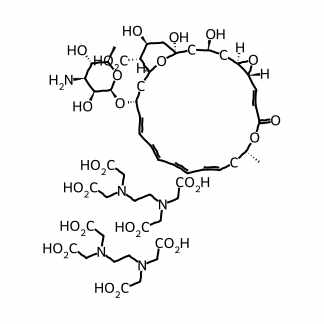 C[C@@H]1C/C=C/C=C/C=C/C=C/[C@H](O[C@@H]2O[C@H](C)[C@@H](O)[C@H](N)[C@@H]2O)C[C@@H]2O[C@](O)(C[C@@H](O)C[C@H]3O[C@@H]3/C=C/C(=O)O1)C[C@H](O)[C@H]2C(=O)O.O=C(O)CN(CCN(CC(=O)O)CC(=O)O)CC(=O)O.O=C(O)CN(CCN(CC(=O)O)CC(=O)O)CC(=O)O